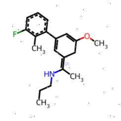 CCCN/C(C)=C1\C=C(c2cccc(F)c2C)C=C(OC)C1